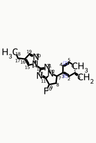 C=C/C=C(\C=C/C)C1CC(F)c2nc(-n3cc(CC)cn3)nn21